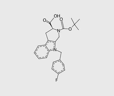 CC(C)(C)OC(=O)N1Cc2c(c3ccccc3n2Cc2ccc(F)cc2)C[C@H]1C(=O)O